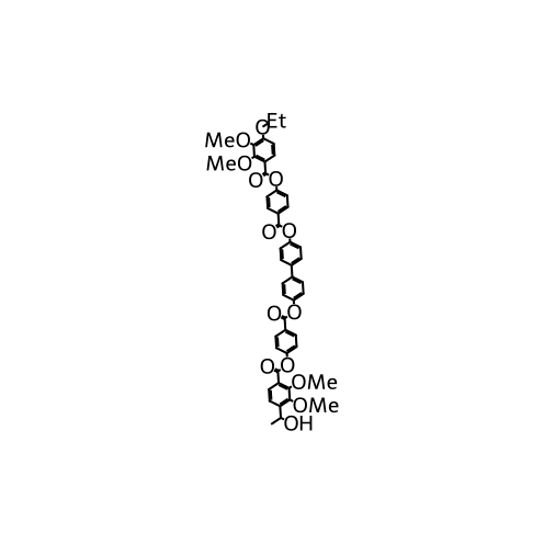 CCOc1ccc(C(=O)Oc2ccc(C(=O)Oc3ccc(-c4ccc(OC(=O)c5ccc(OC(=O)c6ccc(C(C)O)c(OC)c6OC)cc5)cc4)cc3)cc2)c(OC)c1OC